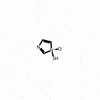 [O-][N+]1(S)C=CN=C1